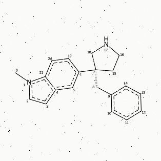 Cn1ccc2cc([C@]3(Cc4ccccc4)CCNC3)ccc21